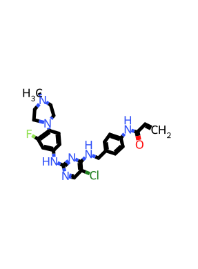 C=CC(=O)Nc1ccc(CNc2nc(Nc3ccc(N4CCN(C)CC4)c(F)c3)ncc2Cl)cc1